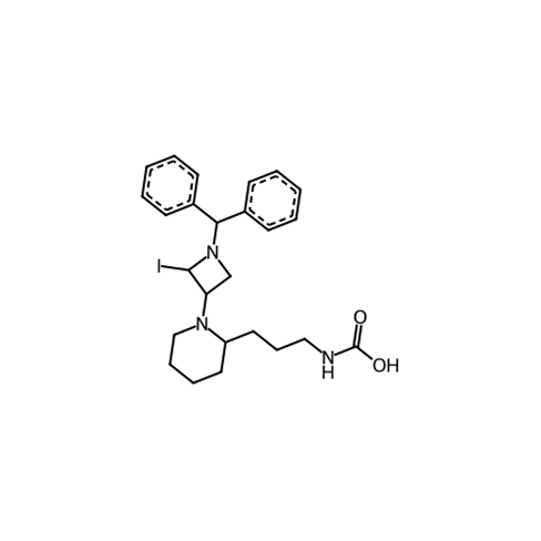 O=C(O)NCCCC1CCCCN1C1CN(C(c2ccccc2)c2ccccc2)C1I